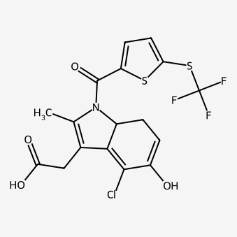 CC1=C(CC(=O)O)C2=C(Cl)C(O)=CCC2N1C(=O)c1ccc(SC(F)(F)F)s1